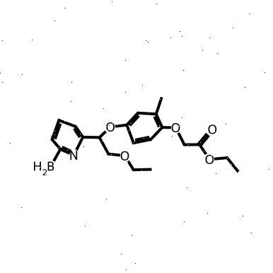 Bc1cccc(C(COCC)Oc2ccc(OCC(=O)OCC)c(C)c2)n1